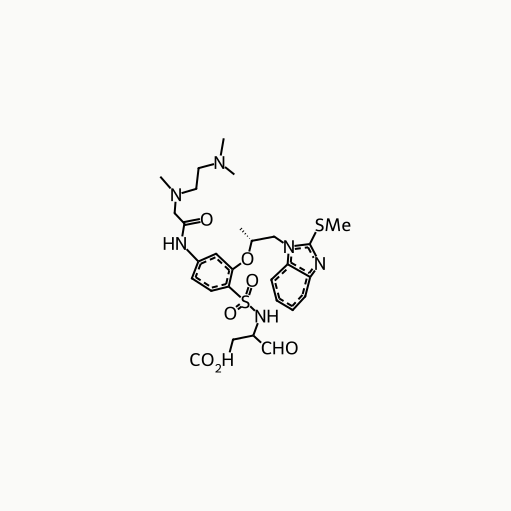 CSc1nc2ccccc2n1C[C@@H](C)Oc1cc(NC(=O)CN(C)CCN(C)C)ccc1S(=O)(=O)NC(C=O)CC(=O)O